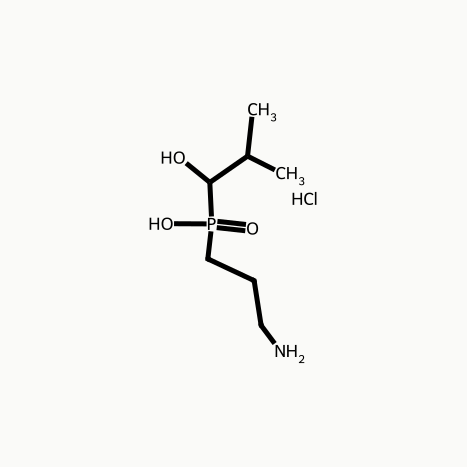 CC(C)C(O)P(=O)(O)CCCN.Cl